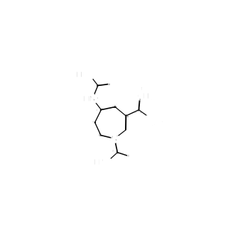 CC(C)NC1CCN(C(C)C)CC(C(C)C)C1